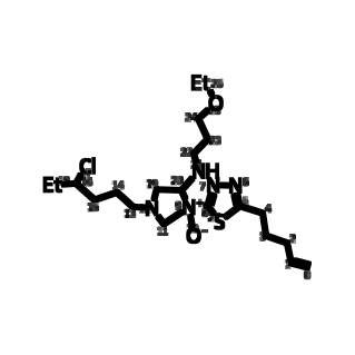 C=CCCCc1nnc([N+]2([O-])CN(CCCC(Cl)CC)CC2NCCCOCC)s1